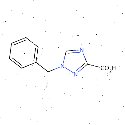 C[C@H](c1ccccc1)n1cnc(C(=O)O)n1